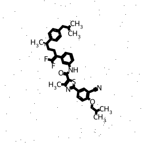 Cc1nc(-c2ccc(OCC(C)C)c(C#N)c2)sc1C(=O)Nc1cccc(C(CC[C@@H](C)c2ccc(CC(C)C)cc2)=C(F)F)c1